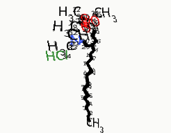 CCCCCCCCCCCCCCCC(CCC[Si](OCC)(OCC)OCC)CCN(C)C.Cl